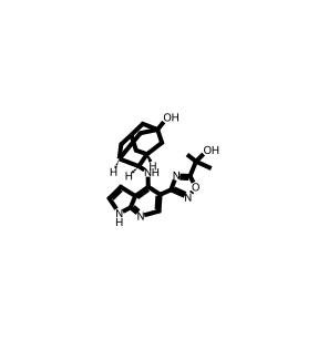 CC(C)(O)c1nc(-c2cnc3[nH]ccc3c2N[C@@H]2[C@@H]3CC4C[C@H]2CC(O)(C4)C3)no1